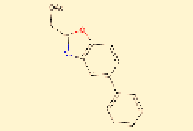 CC(=O)OCc1nc2cc(-c3ccccc3)ccc2o1